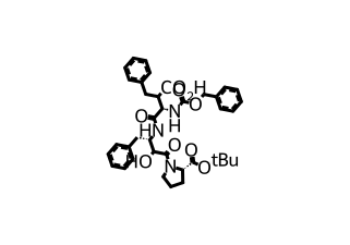 CC(C)(C)OC(=O)[C@@H]1CCCN1C(=O)C(O)[C@H](Cc1ccccc1)NC(=O)[C@@H](NC(=O)OCc1ccccc1)C(Cc1ccccc1)C(=O)O